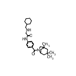 CC1(C)CC2CC(C)(CN2C(=O)c2ccc(NC(=O)CNCC3CCCCC3)cc2)C1